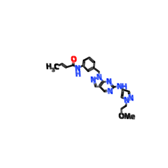 CC=CC(=O)Nc1cccc(Cn2ncc3cnc(Nc4cnn(CCOC)c4)nc32)c1